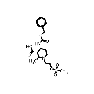 CC1[C@H](C(=O)O)[C@H](NC(=O)OCc2ccccc2)CCN1CCOS(C)(=O)=O